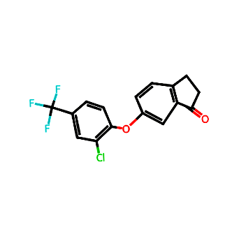 O=C1CCc2ccc(Oc3ccc(C(F)(F)F)cc3Cl)cc21